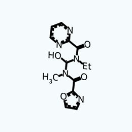 CCN([C](O)N(C)C(=O)c1ncco1)C(=O)c1ncccn1